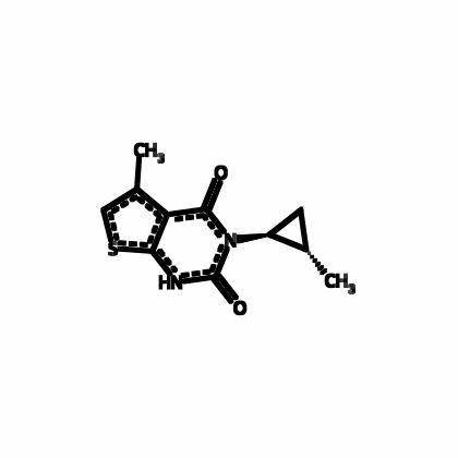 Cc1csc2[nH]c(=O)n([C@H]3C[C@@H]3C)c(=O)c12